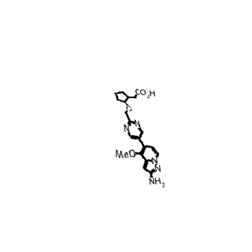 COc1c(-c2cnc(CO[C@H]3CCCC3CC(=O)O)nc2)ccn2nc(N)cc12